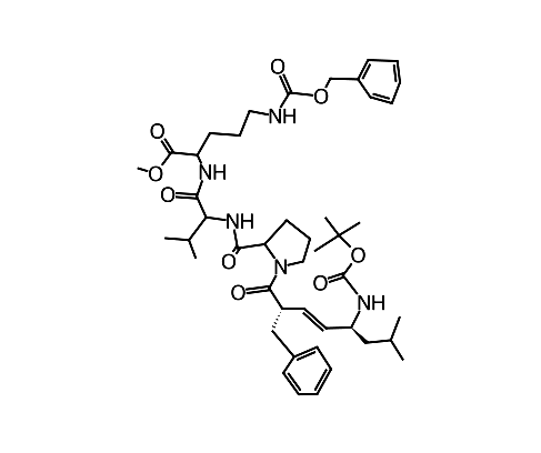 COC(=O)C(CCCNC(=O)OCc1ccccc1)NC(=O)C(NC(=O)C1CCCN1C(=O)[C@H](/C=C/[C@H](CC(C)C)NC(=O)OC(C)(C)C)Cc1ccccc1)C(C)C